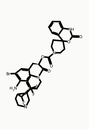 Nc1c(Br)cc(C[C@@H](OC(=O)N2CCC3(CC2)OC(=O)Nc2ccccc23)C(=O)N2CCN(C3CN4CCC3CC4)CC2)cc1C(F)(F)F